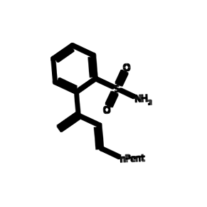 C=C(C=CCCCCC)c1ccccc1S(N)(=O)=O